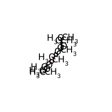 CCC(C)(CC)OC(C)COc1ccc(C(C)(C)c2ccc(OCC(C)OC(=O)/C=C/C(=O)C(C)(C)CC)cc2)cc1